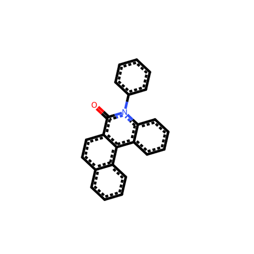 O=c1c2ccc3ccccc3c2c2ccccc2n1-c1ccccc1